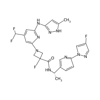 Cc1cc(Nc2cc(C(F)F)cc(N3CC(F)(C(=O)N[C@@H](C)c4ccc(-n5cc(F)cn5)nc4)C3)n2)n[nH]1